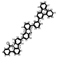 O=c1c2ccccc2c2cccc3c4cc(-c5ccc6sc7c(-c8cccc(-c9ccc%10c(c9)c9c(c%11ccccc%11%10)CCC=C9)c8)cccc7c6c5)ccc4n1c23